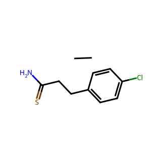 CC.NC(=S)CCc1ccc(Cl)cc1